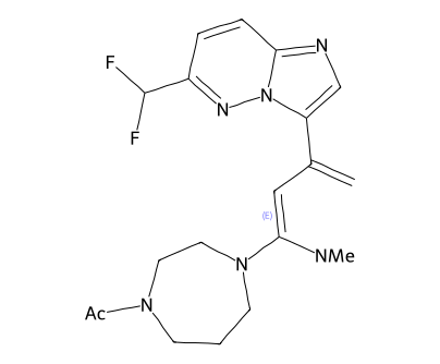 C=C(/C=C(\NC)N1CCCN(C(C)=O)CC1)c1cnc2ccc(C(F)F)nn12